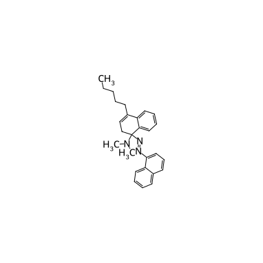 CCCCCC1=CCC(N=Nc2cccc3ccccc23)(N(C)C)c2ccccc21